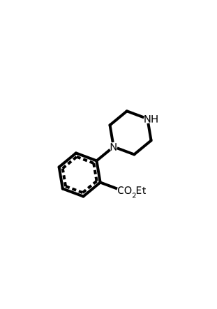 CCOC(=O)c1ccccc1N1CCNCC1